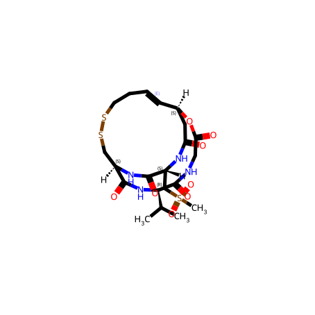 CC(C)[C@H]1NC(=O)[C@H]2CSSCC/C=C/[C@H](CC(=O)N[C@H](CS(C)(=O)=O)C(=O)N2)OC(=O)CNC1=O